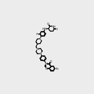 [2H]c1ccc2ncn(-c3ccc(N4CCN(CC5CCN(c6ccc(NC7CCC(=O)NC7=O)cc6F)CC5)CC4)cc3)c(=O)c2c1